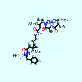 CCCCCCN(C)[C@H](C(=O)N[C@H](C(=O)N(C)[C@@H]([C@@H](C)CC)[C@@H](CC(=O)NCCC[C@@H]1C[C@@]1(OC)[C@@H](C)C(=O)N[C@@H](Cc1ccccc1)C(=O)O)OC)C(C)C)C(C)C